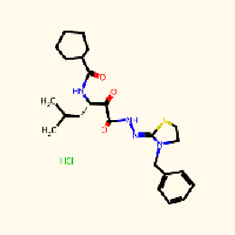 CC(C)C[C@H](NC(=O)C1CCCCC1)C(=O)C(=O)N/N=C1\SCCN1Cc1ccccc1.Cl